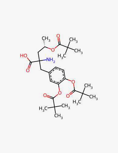 C[C@@H](CC(N)(Cc1ccc(OC(=O)C(C)(C)C)c(OC(=O)C(C)(C)C)c1)C(=O)O)OC(=O)C(C)(C)C